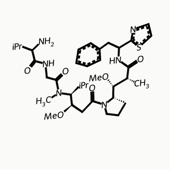 CO[C@H]([C@@H](C)C(=O)NC(Cc1ccccc1)c1nccs1)[C@@H]1CCCN1C(=O)C[C@@H](OC)[C@H](C(C)C)N(C)C(=O)CNC(=O)C(N)C(C)C